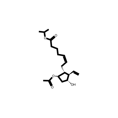 C=C[C@@H]1[C@@H](C/C=C\CCCC(=O)OC(C)C)[C@@H](OC(C)=O)C[C@H]1O